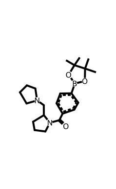 CC1(C)OB(c2ccc(C(=O)N3CCCC3CN3CCCC3)cc2)OC1(C)C